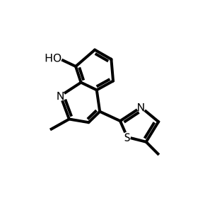 Cc1cc(-c2ncc(C)s2)c2cccc(O)c2n1